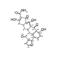 NC(=O)C1=C(O)CC2CC3Cc4c(-c5occc5C=O)ccc(O)c4C(=O)C3=C(O)C2C1=O